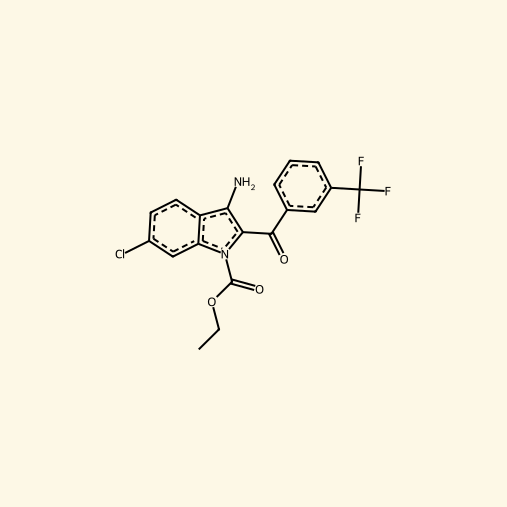 CCOC(=O)n1c(C(=O)c2cccc(C(F)(F)F)c2)c(N)c2ccc(Cl)cc21